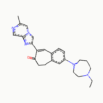 CCN1CCCN(c2ccc3c(c2)CCC(=O)C(c2cn4cc(C)ncc4n2)=C3)CC1